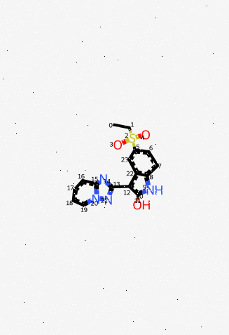 CCS(=O)(=O)c1ccc2[nH]c(O)c(-c3nc4ccccn4n3)c2c1